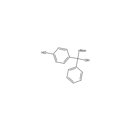 CCCCCCCCCC(O)(c1ccccc1)c1ccc(O)cc1